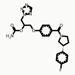 NC(=O)OC(COc1ccc(C(=O)N2CC[C@H](c3ccc(F)cc3)C2)cc1)Cn1ncnn1